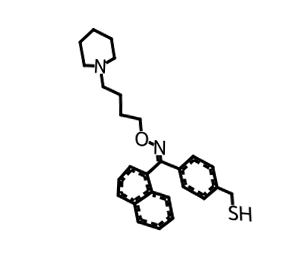 SCc1ccc(/C(=N/OCCCCN2CCCCC2)c2cccc3ccccc23)cc1